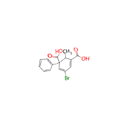 CC1C(C(=O)O)=CC(Br)=CC1(C(=O)O)c1ccccc1